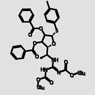 Cc1ccc(S[C@@H]2O[C@H]([C@H](C)N/C(=N\C(=O)OC(C)(C)C)NC(=O)OC(C)(C)C)C(OC(=O)c3ccccc3)C2OC(=O)c2ccccc2)cc1